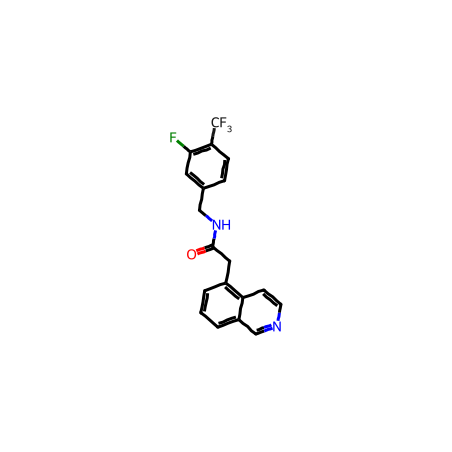 O=C(Cc1cccc2cnccc12)NCc1ccc(C(F)(F)F)c(F)c1